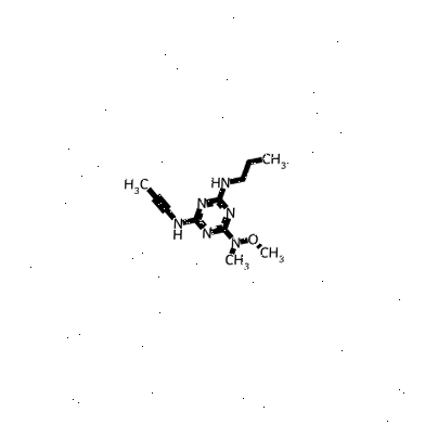 CC#CNc1nc(NCCC)nc(N(C)OC)n1